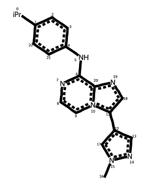 CC(C)c1ccc(Nc2nccn3c(-c4cnn(C)c4)cnc23)cc1